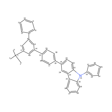 CC(C)(C)c1cc(-c2ccccc2)cc(-c2ccc(-c3ccc4c(c3)c3ccccc3n4-c3ccccc3)cc2)c1